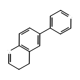 C1=Nc2ccc(-c3ccncc3)cc2CC1